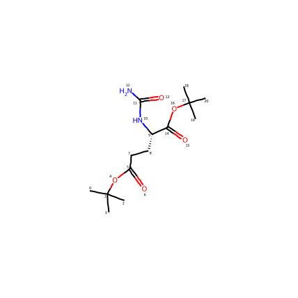 CC(C)(C)OC(=O)CC[C@H](NC(N)=O)C(=O)OC(C)(C)C